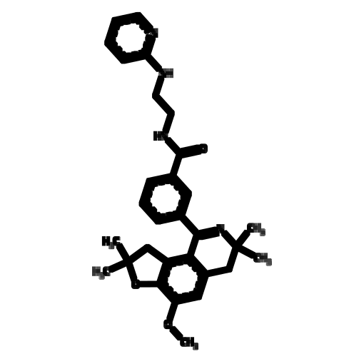 COc1cc2c(c3c1OC(C)(C)C3)C(c1cccc(C(=O)NCCNc3ccccn3)c1)=NC(C)(C)C2